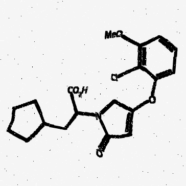 COc1cccc(OC2=CC(=O)N(C(CC3CCCC3)C(=O)O)C2)c1Cl